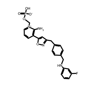 Nc1c(-c2cc(Cc3ccc(CNc4cccc(F)c4)cc3)no2)ccc[n+]1COP(=O)([O-])O